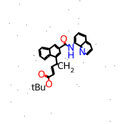 C=C(/C=C/C(=O)OC(C)(C)C)c1cc(C(=O)Nc2cccc3cccnc23)cc2ccccc12